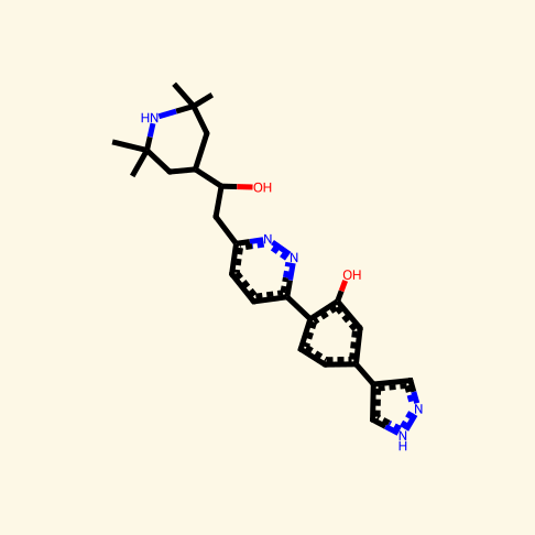 CC1(C)CC(C(O)Cc2ccc(-c3ccc(-c4cn[nH]c4)cc3O)nn2)CC(C)(C)N1